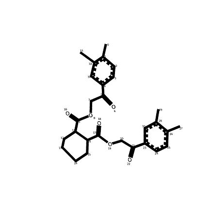 Cc1ccc(C(=O)COC(=O)C2CCCCC2C(=O)OCC(=O)c2ccc(C)c(C)c2)cc1C